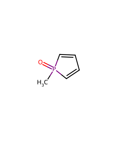 CP1(=O)C=CC=C1